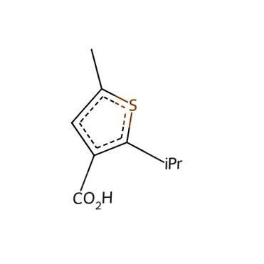 Cc1cc(C(=O)O)c(C(C)C)s1